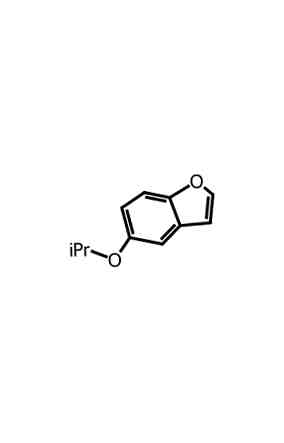 CC(C)Oc1ccc2occc2c1